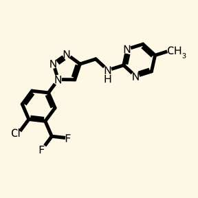 Cc1cnc(NCc2cn(-c3ccc(Cl)c(C(F)F)c3)nn2)nc1